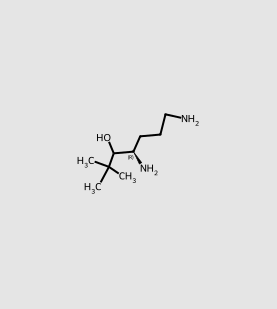 CC(C)(C)C(O)[C@H](N)CCCN